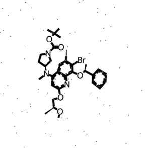 CO[C@@H](C)COc1cc(N(C)[C@H]2CCN(C(=O)OC(C)(C)C)C2)c2cc(I)c(Br)c(O[C@@H](C)c3ccccc3)c2n1